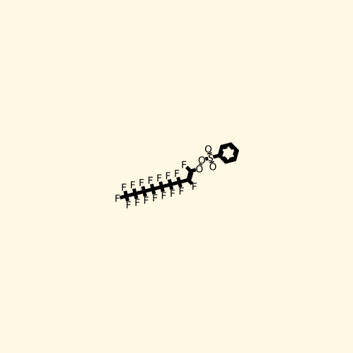 O=S(=O)(OOC(F)=C(F)C(F)(F)C(F)(F)C(F)(F)C(F)(F)C(F)(F)C(F)(F)C(F)(F)F)c1ccccc1